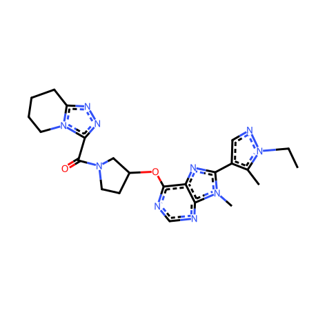 CCn1ncc(-c2nc3c(OC4CCN(C(=O)c5nnc6n5CCCC6)C4)ncnc3n2C)c1C